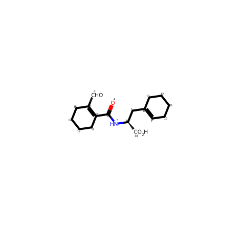 O=CC1=C(C(=O)N[C@@H](CC2=CCCCC2)C(=O)O)CCCC1